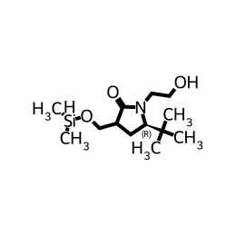 C[SiH](C)OCC1C[C@H](C(C)(C)C)N(CCO)C1=O